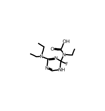 CCN(CC)C1=NC(F)(N(CC)C(=O)O)NC=N1